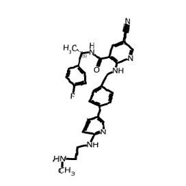 CNCCNc1ccc(-c2ccc(CNc3ncc(C#N)cc3C(=O)N[C@@H](C)c3ccc(F)cc3)cc2)cn1